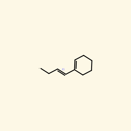 [CH2]C/C=C/C1=CCCCC1